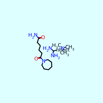 CCCCCC(N)N.CN(C)C.NC(=O)CCCCC(=O)N1CCCCCC1